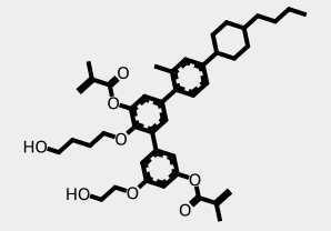 C=C(C)C(=O)Oc1cc(OCCO)cc(-c2cc(-c3ccc(C4CCC(CCCC)CC4)cc3C)cc(OC(=O)C(=C)C)c2OCCCCO)c1